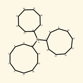 C1CCCCC(N(C2CCCCCCCC2)C2CCCCCCC2)CCCC1